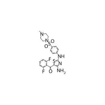 CN1CCN(S(=O)(=O)c2ccc(Nc3nc(N)c(C(=O)c4c(F)cccc4F)s3)cc2)CC1